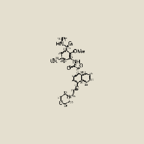 COc1c(NC(=O)C(=O)c2ccc(OCCN3CCOCC3)c3ccccc23)cc(C(C)(C)C)cc1C(=O)NC(C)C